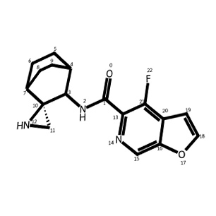 O=C(NC1C2CCC(CC2)[C@@]12CN2)c1ncc2occc2c1F